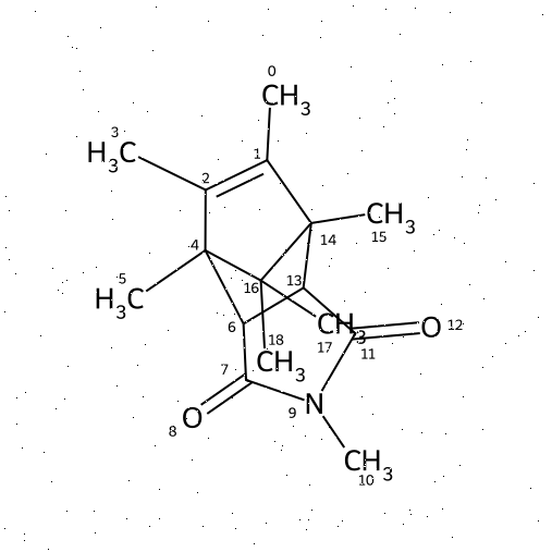 CC1=C(C)C2(C)C3C(=O)N(C)C(=O)C3C1(C)C2(C)C